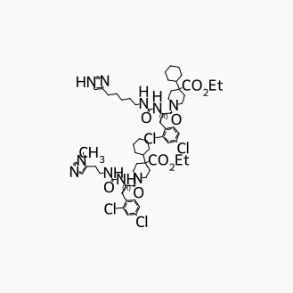 CCOC(=O)C1(C2CCCCC2)CCN(C(=O)[C@@H](Cc2ccc(Cl)cc2Cl)NC(=O)NCCCCCc2c[nH]cn2)CC1.CCOC(=O)C1(C2CCCCC2)CCN(C(=O)[C@@H](Cc2ccc(Cl)cc2Cl)NC(=O)NCCc2cncn2C)CC1